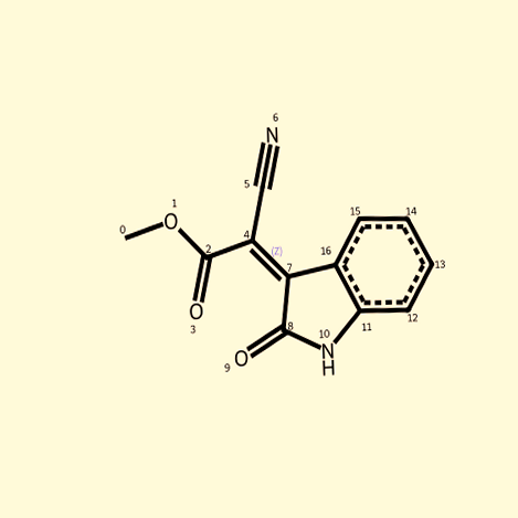 COC(=O)/C(C#N)=C1\C(=O)Nc2ccccc21